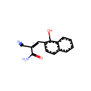 N#C/C(=C/c1ccc2ccccc2c1O)C(N)=O